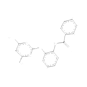 COc1cc(OC)nc(Oc2ccccc2NC(=O)c2ccccc2)n1